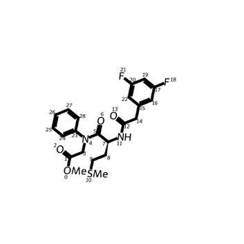 COC(=O)CN(C(=O)[C@H](CCSC)NC(=O)Cc1cc(F)cc(F)c1)c1ccccc1